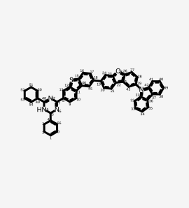 C1=CCCC(C2N=C(c3ccc4c(c3)sc3ccc(-c5ccc6c(c5)oc5ccc(-n7c8ccccc8c8ccccc87)cc56)cc34)N=C(C3=CCCC=C3)N2)=C1